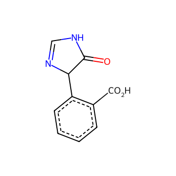 O=C(O)c1ccccc1C1N=CNC1=O